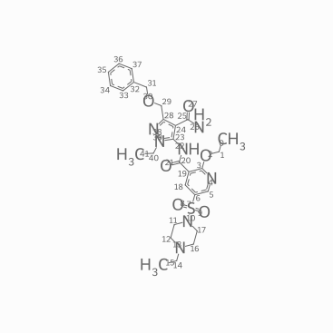 CCOc1ncc(S(=O)(=O)N2CCN(CC)CC2)cc1C(=O)Nc1c(C(N)=O)c(COCc2ccccc2)nn1CC